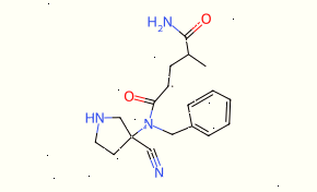 CC(C[CH]C(=O)N(Cc1ccccc1)C1(C#N)CCNC1)C(N)=O